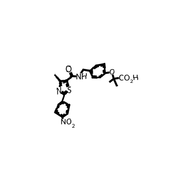 Cc1nc(-c2ccc([N+](=O)[O-])cc2)sc1C(=O)NCc1ccc(OC(C)(C)C(=O)O)cc1